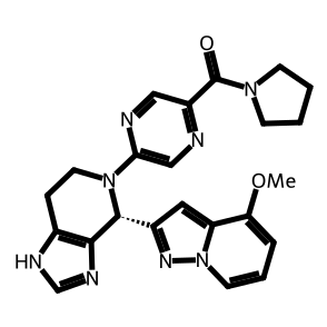 COc1cccn2nc([C@@H]3c4nc[nH]c4CCN3c3cnc(C(=O)N4CCCC4)cn3)cc12